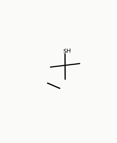 CC.CC(C)(C)S